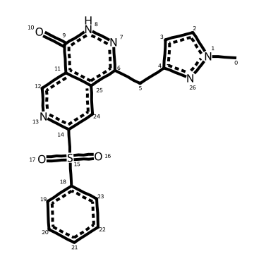 Cn1ccc(Cc2n[nH]c(=O)c3cnc(S(=O)(=O)c4ccccc4)cc23)n1